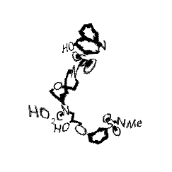 CNS(=O)(=O)c1cccc(OCC(O)CN(C(=O)O)C2COC3(CCN(S(=O)(=O)c4cnc5ccccc5c4O)CC3)C2)c1